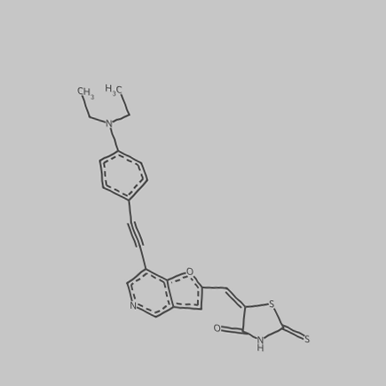 CCN(CC)c1ccc(C#Cc2cncc3cc(C=C4SC(=S)NC4=O)oc23)cc1